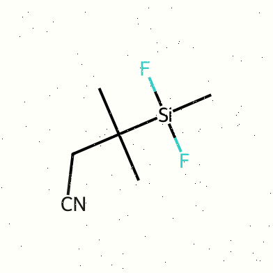 CC(C)(CC#N)[Si](C)(F)F